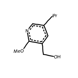 COc1ncc(C(C)C)cc1CO